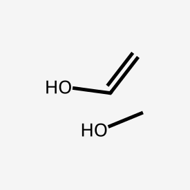 C=CO.CO